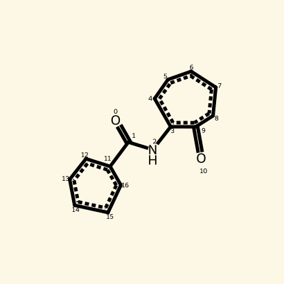 O=C(Nc1cccccc1=O)c1ccccc1